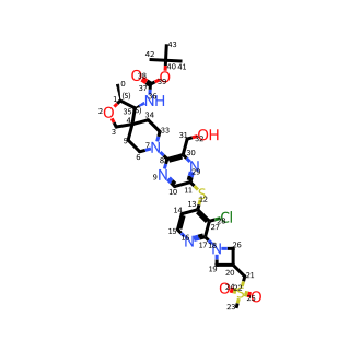 C[C@@H]1OCC2(CCN(c3ncc(Sc4ccnc(N5CC(CS(C)(=O)=O)C5)c4Cl)nc3CO)CC2)[C@@H]1NC(=O)OC(C)(C)C